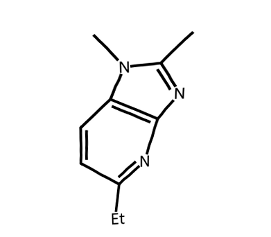 CCc1ccc2c(n1)nc(C)n2C